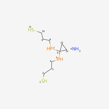 N.SCCCPC1(PCCCS)CC1